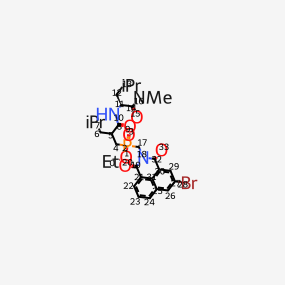 CCOP(=O)(CC(CC(C)C)C(=O)N[C@@H](CC(C)C)C(=O)NC)CN1C(=O)c2cccc3cc(Br)cc(c23)C1=O